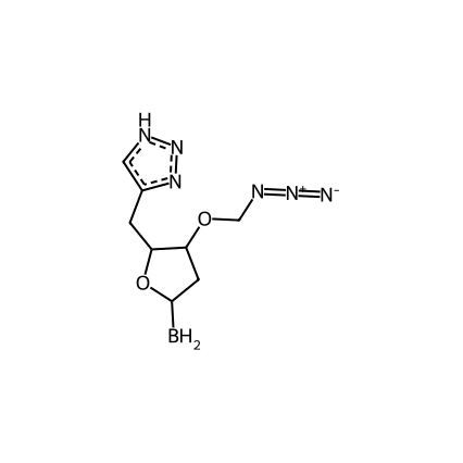 BC1CC(OCN=[N+]=[N-])C(Cc2c[nH]nn2)O1